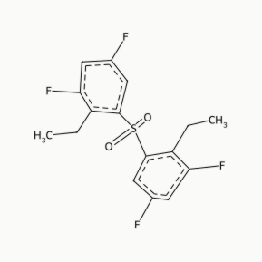 CCc1c(F)cc(F)cc1S(=O)(=O)c1cc(F)cc(F)c1CC